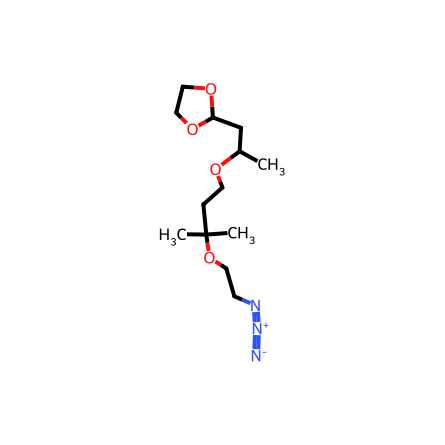 CC(CC1OCCO1)OCCC(C)(C)OCCN=[N+]=[N-]